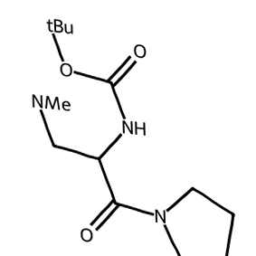 CNCC(NC(=O)OC(C)(C)C)C(=O)N1CCCC1